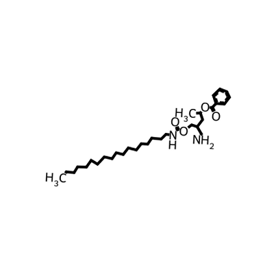 CCCCCCCCCCCCCCCCCCNC(=O)OCC(CN)CC(C)OC(=O)c1ccccc1